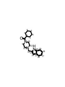 O=C(C1CCCCC1)N1CCN(Cc2cc3ccccc3[nH]2)CC1